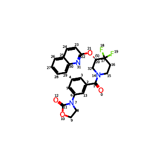 O=C(c1cccc(N2CCOC2=O)c1)N1CCC(F)(F)[C@@H](Oc2ccc3ccccc3n2)C1